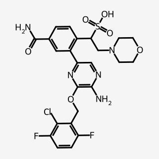 NC(=O)c1ccc(C(CN2CCOCC2)S(=O)(=O)O)c(-c2cnc(N)c(OCc3c(F)ccc(F)c3Cl)n2)c1